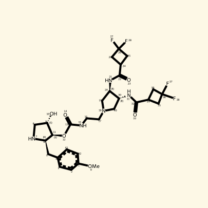 COc1ccc(C[C@H]2NC[C@H](O)[C@H]2OC(=O)NCCN2C[C@@H](NC(=O)C3CC(F)(F)C3)[C@H](NC(=O)C3CC(F)(F)C3)C2)cc1